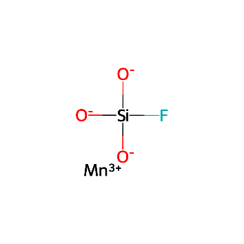 [Mn+3].[O-][Si]([O-])([O-])F